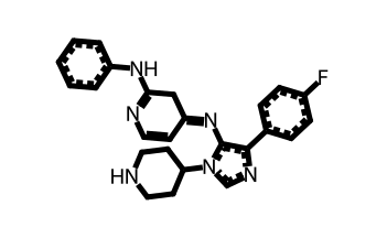 Fc1ccc(-c2ncn(C3CCNCC3)c2N=C2C=CN=C(Nc3ccccc3)C2)cc1